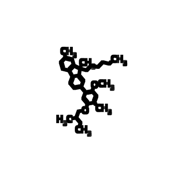 CCCCCCC1(C)c2cc(C)ccc2-c2ccc(-c3cc(OCC(C)CC)c(C)cc3OC)cc21